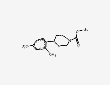 COc1cc(C(F)(F)F)ccc1C1CCN(C(=O)OC(C)(C)C)CC1